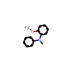 CN(c1ccccc1)c1ccccc1OC(F)(F)F